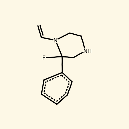 C=CN1CCNCC1(F)c1ccccc1